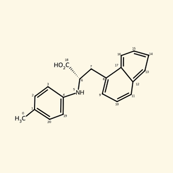 Cc1ccc(N[C@@H](Cc2cccc3ccccc23)C(=O)O)cc1